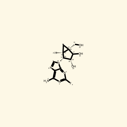 Nc1nc(F)nc2c1ncn2[C@@H]1[C@H]2C[C@@]2(CO)C(O)[C@@H]1O